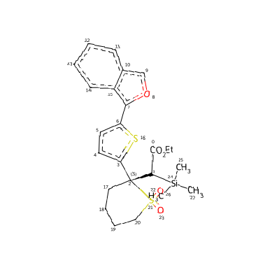 CCOC(=O)C([C@]1(c2ccc(-c3occ4ccccc34)s2)CCCCS1(=O)=O)[Si](C)(C)C